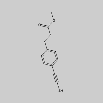 COC(=O)CCc1ccc(C#CS)cc1